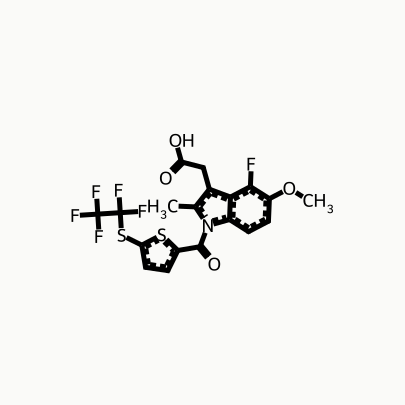 COc1ccc2c(c1F)c(CC(=O)O)c(C)n2C(=O)c1ccc(SC(F)(F)C(F)(F)F)s1